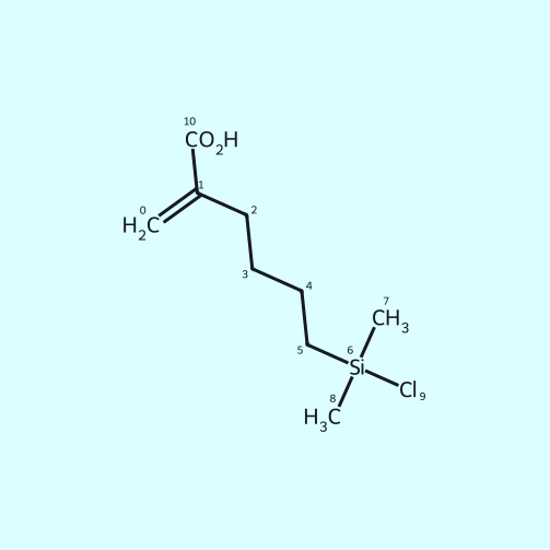 C=C(CCCC[Si](C)(C)Cl)C(=O)O